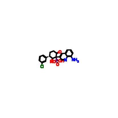 Nc1cccc2cc(C3(P(=O)(O)O)C(=O)CC[C@@H](c4cccc(Cl)c4)C3=O)cnc12